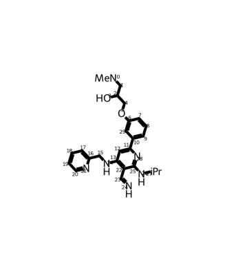 CNCC(O)COc1cccc(-c2cc(NCc3ccccn3)c(C=N)c(NC(C)C)n2)c1